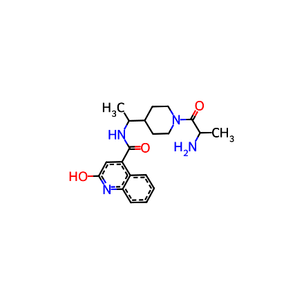 CC(N)C(=O)N1CCC(C(C)NC(=O)c2cc(O)nc3ccccc23)CC1